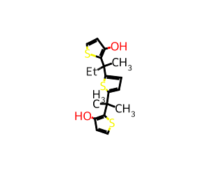 CCC(C)(c1ccc(C(C)(C)c2sccc2O)s1)c1sccc1O